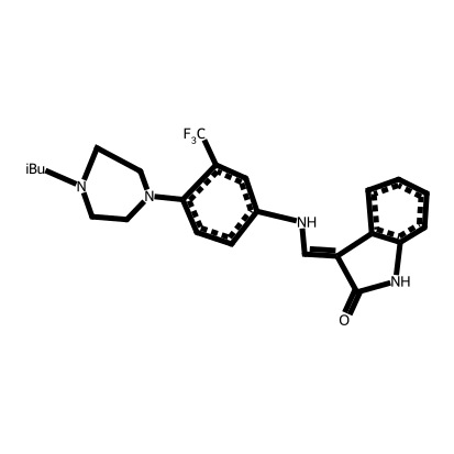 CCC(C)N1CCN(c2ccc(N/C=C3/C(=O)Nc4ccccc43)cc2C(F)(F)F)CC1